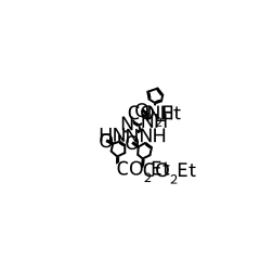 CCOC(=O)C=C1CC=C(Nc2nc(NC3=CCC(=CC(=O)OCC)CC3=O)c(NC(=O)Nc3ccccc3)c(C(=O)OCC)n2)C(=O)C1